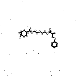 C=C(COc1ccccc1)C(=O)OCCOCCOC(=O)C1CCC2(C)OC2C1